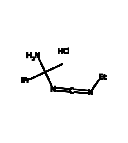 CCN=C=NC(C)(N)C(C)C.Cl